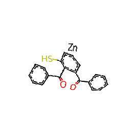 O=C(c1ccccc1)c1cccc(S)c1C(=O)c1ccccc1.[Zn]